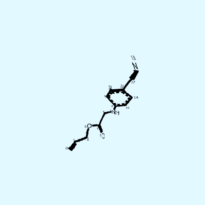 C=CCOC(=O)CNc1ccc(C#N)cc1